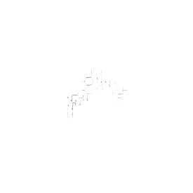 CNc1ncc2cc(-c3cc(NC(=O)N4CC[C@@H](OC(F)(F)F)C4)c(F)cc3C)c(C)nc2n1